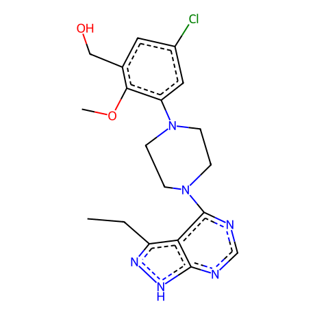 CCc1n[nH]c2ncnc(N3CCN(c4cc(Cl)cc(CO)c4OC)CC3)c12